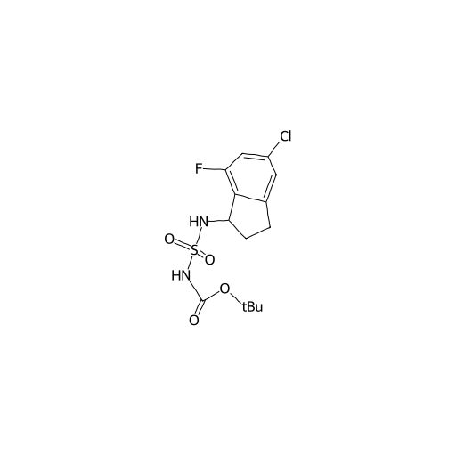 CC(C)(C)OC(=O)NS(=O)(=O)NC1CCc2cc(Cl)cc(F)c21